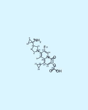 Cc1c(N2CCC(C3(N)CC3)C2)c(F)cn2c(=O)c(OC(=O)O)cc(C3CC3)c12